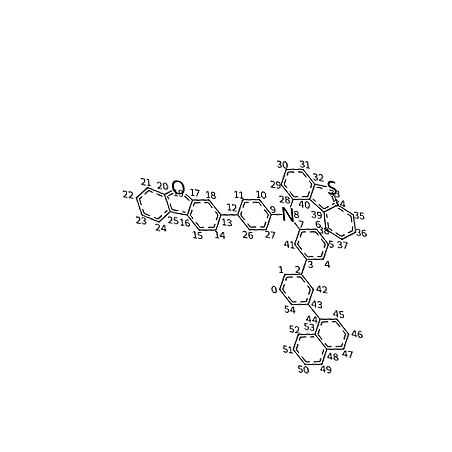 c1cc(-c2cccc(N(c3ccc(-c4ccc5c(c4)oc4ccccc45)cc3)c3cccc4sc5ccccc5c34)c2)cc(-c2cccc3ccccc23)c1